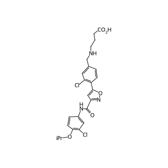 CC(C)Oc1ccc(NC(=O)c2cc(-c3ccc(CNCCCC(=O)O)cc3Cl)on2)cc1Cl